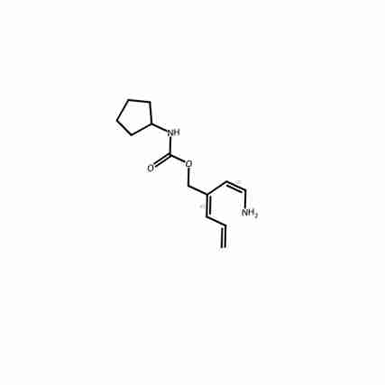 C=C/C=C(\C=C/N)COC(=O)NC1CCCC1